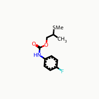 CSC(C)COC(=O)Nc1ccc(F)cc1